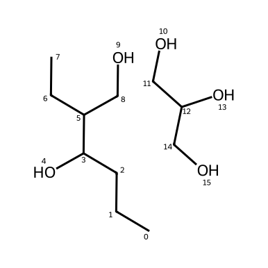 CCCC(O)C(CC)CO.OCC(O)CO